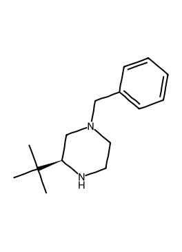 CC(C)(C)[C@H]1CN(Cc2ccccc2)CCN1